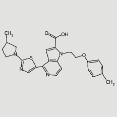 Cc1ccc(OCCn2c(C(=O)O)cc3c(-c4cnc(N5CCC(C)C5)s4)nccc32)cc1